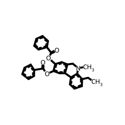 CCc1cccc2c1N(C)Cc1cc(OC(=O)c3ccccc3)c(OC(=O)c3ccccc3)cc1-2